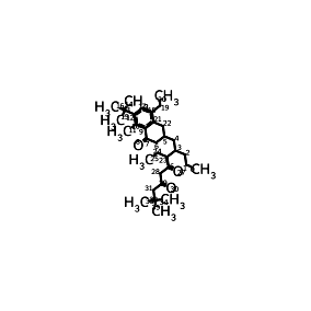 CCCC(CC1CC(=O)c2c(C)c(C(C)(C)C)cc(CC)c2C1)C(CC)C(=O)CC(=O)CC(C)(C)C